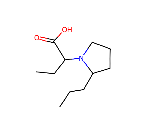 CCCC1CCCN1C(CC)C(=O)O